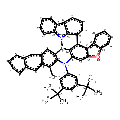 Cc1c2c(cc3cc4ccccc4cc13)B1c3c(cc4oc5ccccc5c4c3-c3cccc4c5ccccc5n1c34)N2c1cc(C(C)(C)C)cc(C(C)(C)C)c1